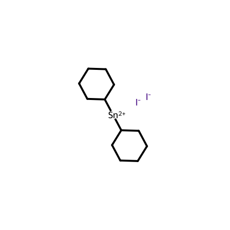 C1CC[CH]([Sn+2][CH]2CCCCC2)CC1.[I-].[I-]